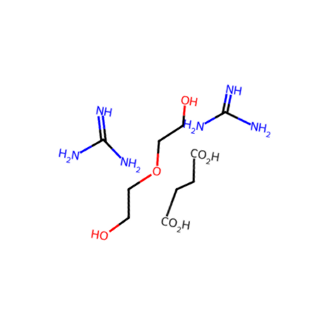 N=C(N)N.N=C(N)N.O=C(O)CCC(=O)O.OCCOCCO